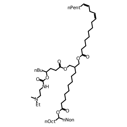 CCCCC/C=C\C/C=C\CCCCCCCC(=O)OCC(CCCCCCCCC(=O)OC(CCCCCCCC)CCCCCCCCC)COC(=O)CCC(CCCC)OC(=O)NCCN(C)CC